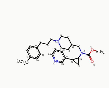 CCOC(=O)c1ccc(CCCN2CCC(CN(C(=O)OC(C)(C)C)C3CC3c3cccnc3)CC2)cc1